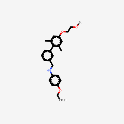 CCOCCOc1cc(C)c(-c2cccc(CNc3ccc(OCC(=O)O)cc3)c2)c(C)c1